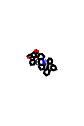 c1ccc([Si]2(c3ccccc3)c3ccccc3N3c4cccc5c4B(c4ccccc4C54c5ccccc5-c5ccccc54)c4cccc2c43)cc1